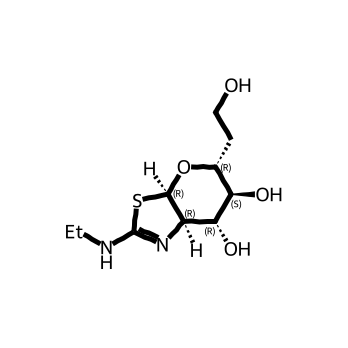 CCNC1=N[C@@H]2[C@@H](O)[C@H](O)[C@@H](CCO)O[C@@H]2S1